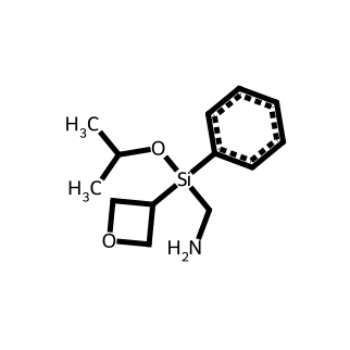 CC(C)O[Si](CN)(c1ccccc1)C1COC1